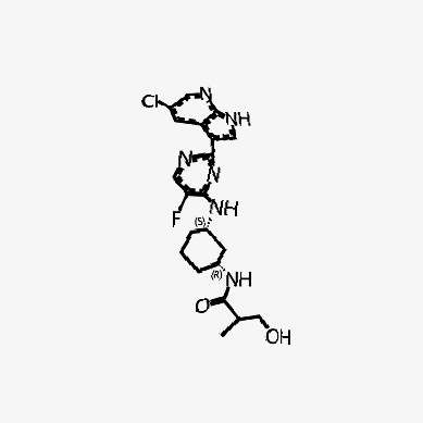 CC(CO)C(=O)N[C@@H]1CCC[C@H](Nc2nc(-c3c[nH]c4ncc(Cl)cc34)ncc2F)C1